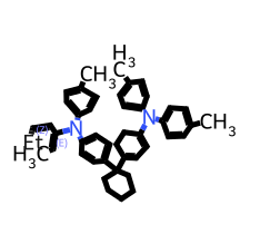 C/C=C(\C=C/CC)N(c1ccc(C)cc1)c1ccc(C2(C3=CC=C(N(c4ccc(C)cc4)c4ccc(C)cc4)CC3)CCCCC2)cc1